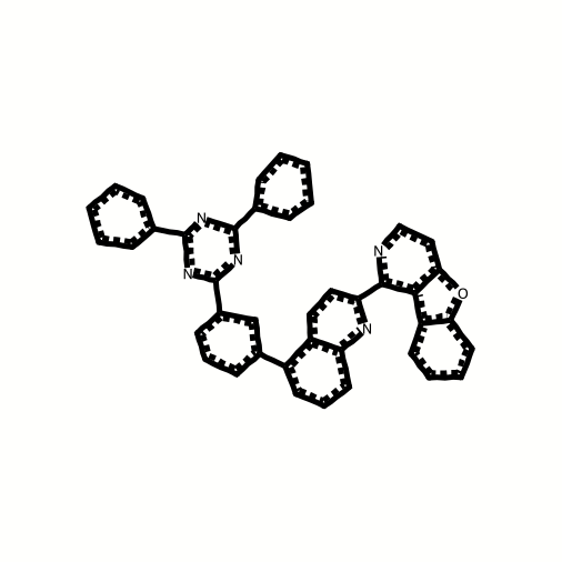 c1ccc(-c2nc(-c3ccccc3)nc(-c3cccc(-c4cccc5nc(-c6nccc7oc8ccccc8c67)ccc45)c3)n2)cc1